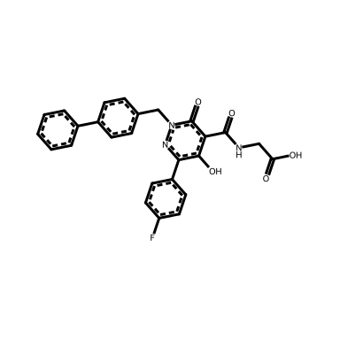 O=C(O)CNC(=O)c1c(O)c(-c2ccc(F)cc2)nn(Cc2ccc(-c3ccccc3)cc2)c1=O